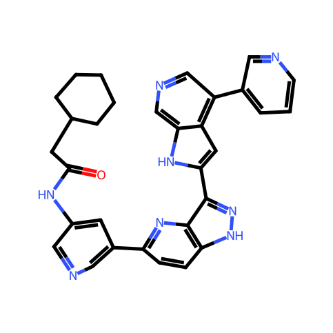 O=C(CC1CCCCC1)Nc1cncc(-c2ccc3[nH]nc(-c4cc5c(-c6cccnc6)cncc5[nH]4)c3n2)c1